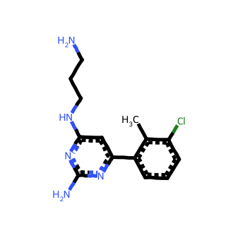 Cc1c(Cl)cccc1-c1cc(NCCCN)nc(N)n1